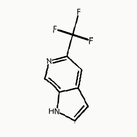 FC(F)(F)c1cc2c[c][nH]c2cn1